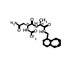 C[C@H](NC(=O)[C@H](CC(N)=O)NC(=O)C(F)(F)F)C(=O)NCc1cccc2ccccc12